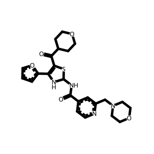 O=C(NC1NC(c2ccco2)=C(C(=O)C2CCOCC2)S1)c1ccnc(CN2CCOCC2)c1